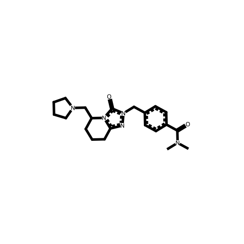 CN(C)C(=O)c1ccc(Cn2nc3n(c2=O)C(CN2CCCC2)CCC3)cc1